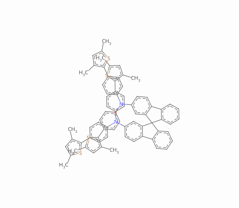 Cc1cc(C)c(-c2ccc(N(c3ccc(-c4sc(C)cc4C)cc3)c3ccc4c(c3)C3(c5ccccc5-4)c4ccccc4-c4ccc(N(c5ccc(-c6sc(C)cc6C)cc5)c5ccc(-c6sc(C)cc6C)cc5)cc43)cc2)s1